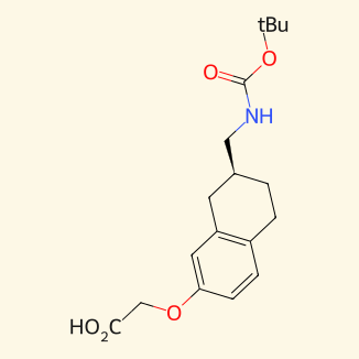 CC(C)(C)OC(=O)NC[C@H]1CCc2ccc(OCC(=O)O)cc2C1